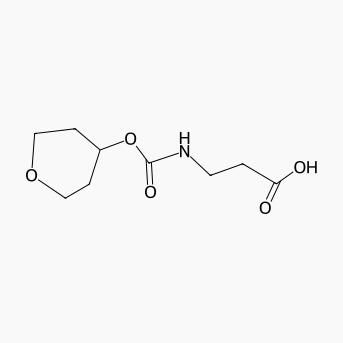 O=C(O)CCNC(=O)OC1CCOCC1